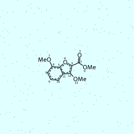 COC(=O)c1oc2c(OC)cccc2c1OC